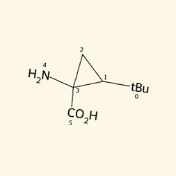 CC(C)(C)C1CC1(N)C(=O)O